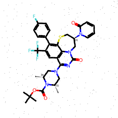 C[C@@H]1CN(c2nc(=O)n3c4c(c(-c5ccc(F)cc5)c(C(F)(F)F)cc24)SC[C@@H](n2ccccc2=O)C3)C[C@H](C)N1C(=O)OC(C)(C)C